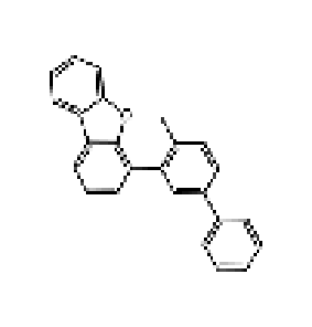 Cc1ccc(-c2ccccc2)cc1-c1cccc2c1oc1ccccc12